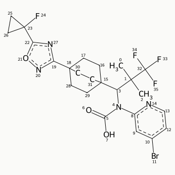 CC(C)(C(N(C(=O)O)c1cc(Br)ccn1)C12CCC(c3noc(C4(F)CC4)n3)(CC1)CC2)C(F)(F)F